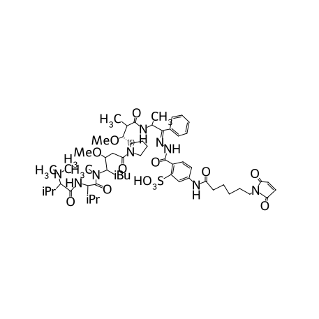 CCC(C)C(C(CC(=O)N1CCC[C@H]1C(OC)C(C)C(=O)NC(C)C(=NNC(=O)c1ccc(NC(=O)CCCCCN2C(=O)C=CC2=O)cc1S(=O)(=O)O)c1ccccc1)OC)N(C)C(=O)C(NC(=O)C(C(C)C)N(C)C)C(C)C